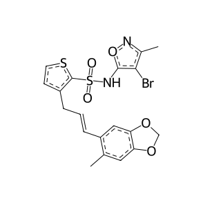 Cc1cc2c(cc1/C=C/Cc1ccsc1S(=O)(=O)Nc1onc(C)c1Br)OCO2